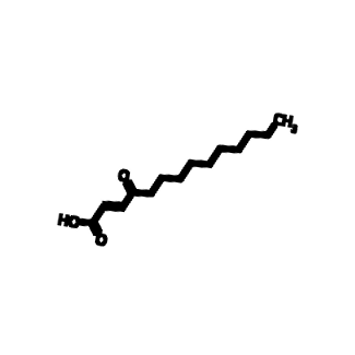 CCCCCCCCCCC(=O)C=CC(=O)O